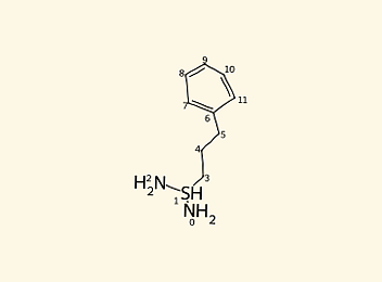 N[SH](N)CCCc1ccccc1